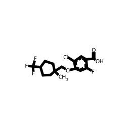 CC1(COc2cc(F)c(C(=O)O)cc2Cl)CCC(C(F)(F)F)CC1